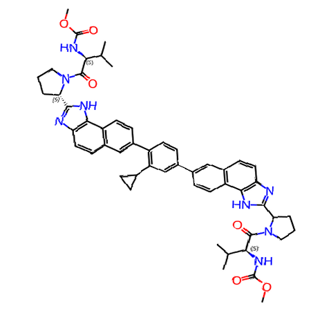 COC(=O)N[C@H](C(=O)N1CCCC1c1nc2ccc3cc(-c4ccc(-c5ccc6c(ccc7nc([C@@H]8CCCN8C(=O)[C@@H](NC(=O)OC)C(C)C)[nH]c76)c5)c(C5CC5)c4)ccc3c2[nH]1)C(C)C